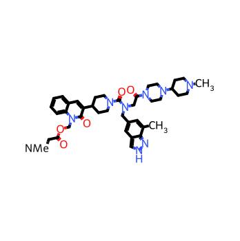 CNCC(=O)OCn1c(=O)c(C2CCN(C(=O)N(CC(=O)N3CCN(C4CCN(C)CC4)CC3)Cc3cc(C)c4n[nH]cc4c3)CC2)cc2ccccc21